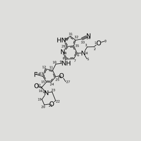 COCCN(C)c1cc(NCc2cc(F)c(C(=O)N3CCOCC3)cc2OC)nc2[nH]cc(C#N)c12